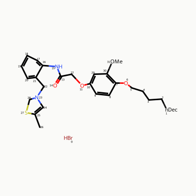 Br.CCCCCCCCCCCCCCOc1ccc(OCC(=O)Nc2ccccc2CN2C=C(C)SC2)cc1OC